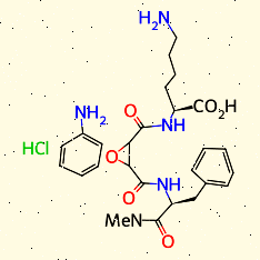 CNC(=O)[C@H](Cc1ccccc1)NC(=O)C1OC1C(=O)N[C@@H](CCCCN)C(=O)O.Cl.Nc1ccccc1